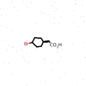 O=C(O)C=C1CCC(Br)CC1